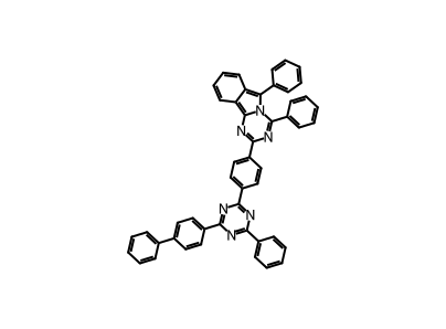 c1ccc(-c2ccc(-c3nc(-c4ccccc4)nc(-c4ccc(-c5nc(-c6ccccc6)n6c(-c7ccccc7)c7ccccc7c6n5)cc4)n3)cc2)cc1